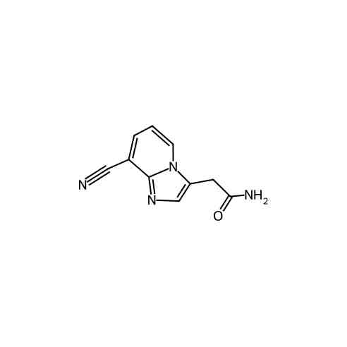 N#Cc1cccn2c(CC(N)=O)cnc12